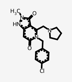 Cn1[nH]c2cc(=O)n(Cc3ccc(Cl)cc3)c(CN3CCCC3)c2c1=O